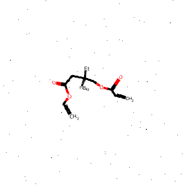 C=COC(=O)CC(CC)(CCCC)COC(=O)C=C